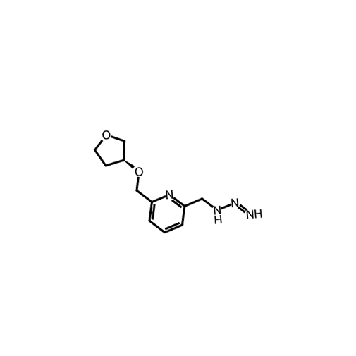 N=NNCc1cccc(CO[C@H]2CCOC2)n1